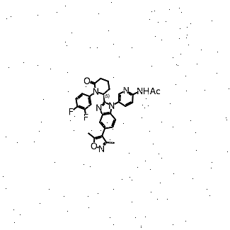 CC(=O)Nc1ccc(-n2c([C@@H]3CCCC(=O)N3c3ccc(F)c(F)c3)nc3cc(-c4c(C)noc4C)ccc32)cn1